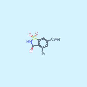 COc1cc(C(C)C)c2c(c1)S(=O)(=O)NC2=O